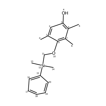 Cc1cc(O)c(C)c(C)c1OC[Si](C)(C)c1ccccc1